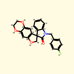 O=C1N(Cc2ccc(F)cc2)c2ccccc2C12COc1cc3c(cc12)OCCO3